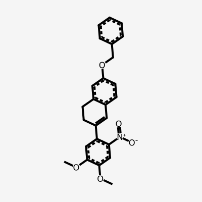 COc1cc(C2=Cc3ccc(OCc4ccccc4)cc3CC2)c([N+](=O)[O-])cc1OC